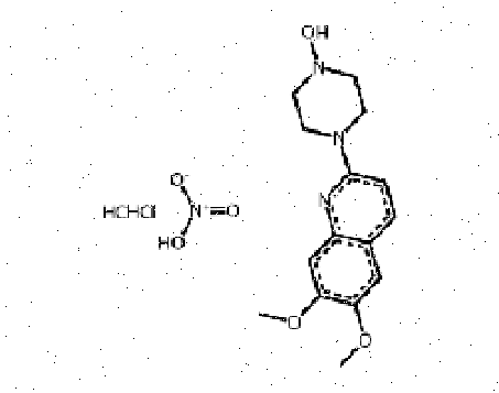 COc1cc2ccc(N3CCN(O)CC3)nc2cc1OC.Cl.Cl.O=[N+]([O-])O